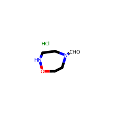 Cl.O=CN1CCNOCC1